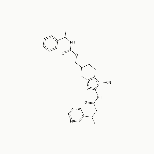 CC(CC(=O)Nc1sc2c(c1C#N)CCC(COC(=O)NC(C)c1ccccc1)C2)c1cccnc1